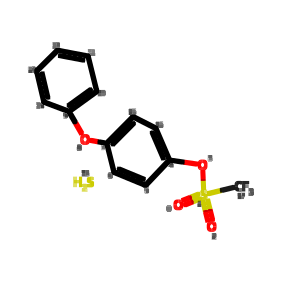 O=S(=O)(Oc1ccc(Oc2ccccc2)cc1)C(F)(F)F.S